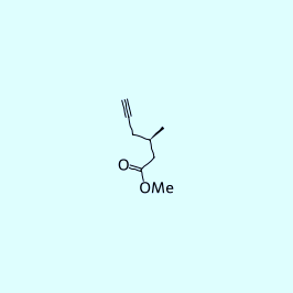 C#CC[C@@H](C)CC(=O)OC